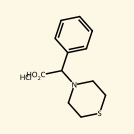 Cl.O=C(O)C(c1ccccc1)N1CCSCC1